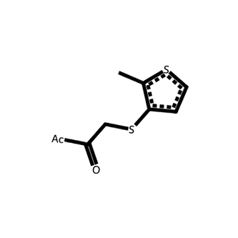 CC(=O)C(=O)CSc1ccsc1C